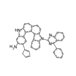 Nc1cc2[nH]c3ccc4ccc5c(c6ccccc6n5-c5nc(-c6ccccc6)c6ccccc6n5)c4c3c2cc1C1=CC=CC1